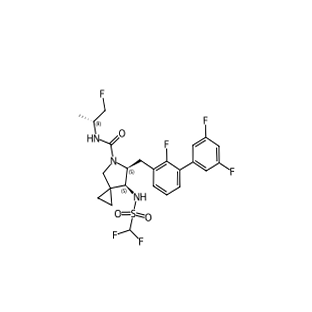 C[C@H](CF)NC(=O)N1CC2(CC2)[C@H](NS(=O)(=O)C(F)F)[C@@H]1Cc1cccc(-c2cc(F)cc(F)c2)c1F